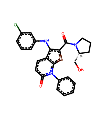 O=C(c1sc2c(ccc(=O)n2-c2ccccc2)c1Nc1cccc(Cl)c1)N1CCC[C@@H]1CO